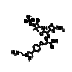 C[n+]1cc(-c2ccc(OCC(O/N=C(\C(=O)N[C@@H]3C(=O)N(OS(=O)(=O)[O-])C3(C)C)c3csc(N)n3)C(=O)O)cc2)cn1CCN